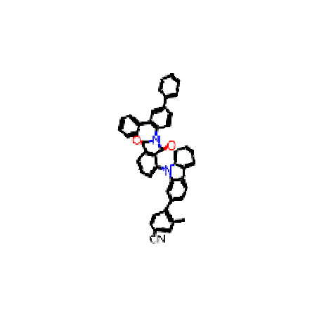 Cc1cc(C#N)ccc1-c1ccc2c3ccccc3n(-c3cccc4c3C(=O)N(c3ccc(-c5ccccc5)cc3-c3ccccc3)C4=O)c2c1